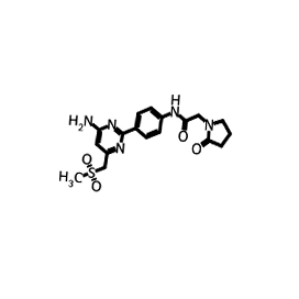 CS(=O)(=O)Cc1cc(N)nc(-c2ccc(NC(=O)CN3CCCC3=O)cc2)n1